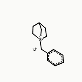 [Cl-].c1ccc(C[N+]23CCC(CC2)CC3)cc1